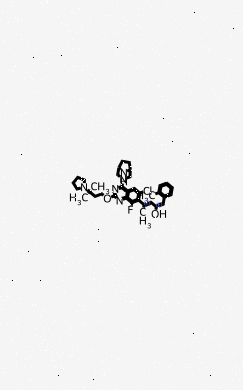 C/C(=C\C(O)=C/c1ccccc1C)c1c(Cl)cc2c(N3CC4CCC(C3)N4)nc(OCCC(C)(C)N3CCCC3)nc2c1F